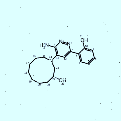 Nc1nnc(-c2ccccc2O)cc1N1CCCCCCC[C@@H](O)C1